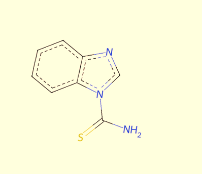 NC(=S)n1cnc2ccccc21